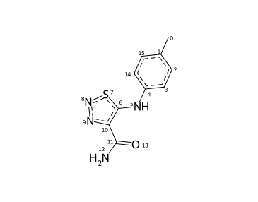 Cc1ccc(Nc2snnc2C(N)=O)cc1